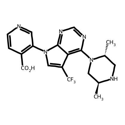 C[C@@H]1CN[C@@H](C)CN1c1ncnc2c1c(C(F)(F)F)cn2-c1cnccc1C(=O)O